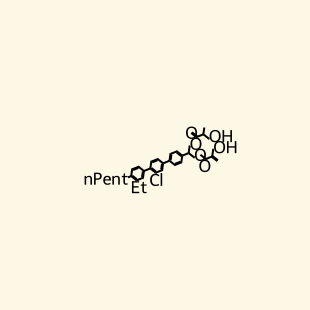 C=C(CO)C(=O)OCC(COC(=O)C(C)CO)c1ccc(-c2ccc(-c3ccc(CCCCC)c(CC)c3)c(Cl)c2)cc1